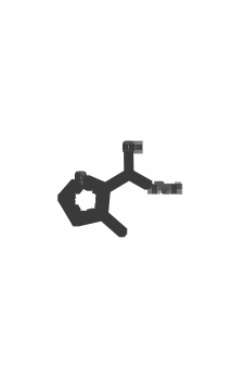 CCCCCC(O)c1occc1C